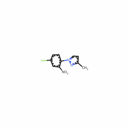 Cc1ccn(-c2ccc(F)cc2[N+](=O)[O-])n1